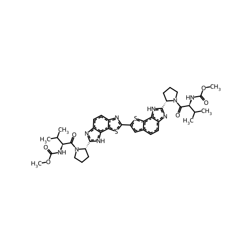 COC(=O)N[C@H](C(=O)N1CCC[C@H]1c1nc2ccc3cc(-c4nc5ccc6nc([C@@H]7CCCN7C(=O)[C@@H](NC(=O)OC)C(C)C)[nH]c6c5s4)sc3c2[nH]1)C(C)C